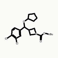 CCCCOC(=O)N1CC(C(OC2CCCC2)c2ccc(Cl)c(Cl)c2)C1